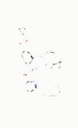 N=S(=O)(c1ccc(NC(=O)c2cc(Cl)cc(N3CCC(F)(F)CC3)n2)c(N2CCC3(CC2)CC3)c1)C1CC1